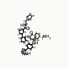 NC[C@H]1CC[C@H](C(=O)N[C@@H](Cc2cccc(-c3cccc(C(=O)NCCN4CCCC4)c3)c2)C(=O)Nc2ccc(-c3nnn[nH]3)cc2)CC1